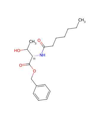 CCCCCCC(=O)N[C@H](C(=O)OCc1ccccc1)C(C)O